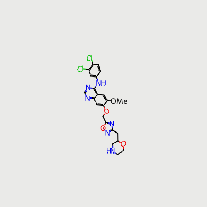 COc1cc2c(Nc3ccc(Cl)c(Cl)c3)ncnc2cc1OCc1nc(CC2CNCCO2)no1